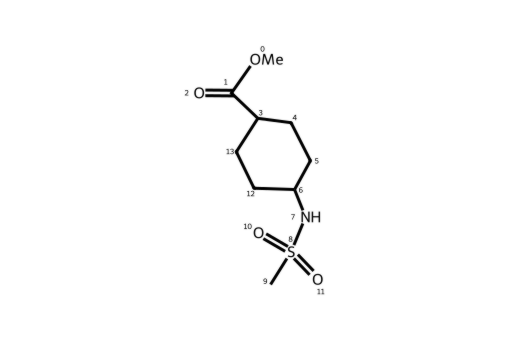 COC(=O)C1CCC(NS(C)(=O)=O)CC1